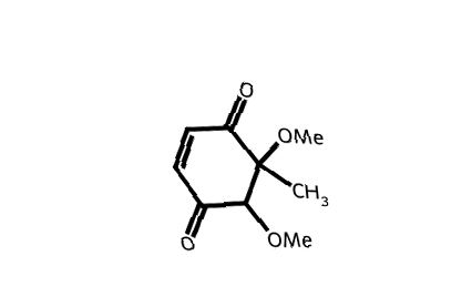 COC1C(=O)C=CC(=O)C1(C)OC